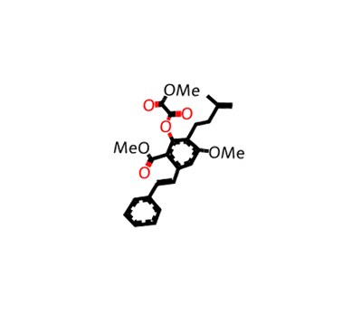 C=C(C)CCc1c(OC)cc(C=Cc2ccccc2)c(C(=O)OC)c1OC(=O)C(=O)OC